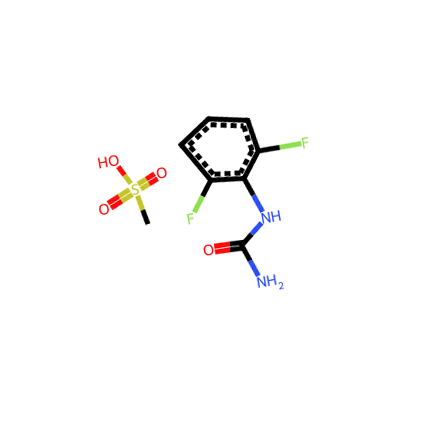 CS(=O)(=O)O.NC(=O)Nc1c(F)cccc1F